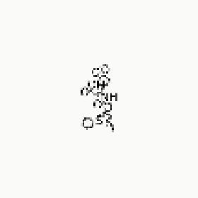 CCSC[C@@H](CSc1ccccc1)OC(=O)N[C@@H](CC(=O)O)c1ccc2c(c1)OCO2